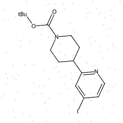 CC(C)(C)OC(=O)N1CCC(c2cc(I)ccn2)CC1